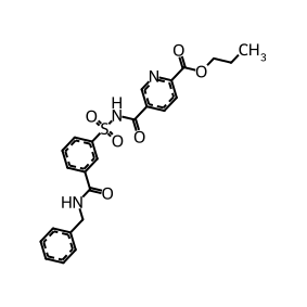 CCCOC(=O)c1ccc(C(=O)NS(=O)(=O)c2cccc(C(=O)NCc3ccccc3)c2)cn1